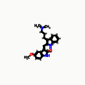 COc1ccc2c(c1)C(=Cc1[nH]c3ccccc3c1CCCN(C)C)C(=O)N2